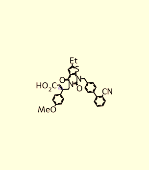 CCc1cc2c(=O)n(C/C(=C/C(=O)O)c3ccc(OC)cc3)c(=O)n(Cc3ccc(-c4ccccc4C#N)cc3)c2s1